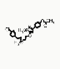 CC(=O)Oc1ccc(-c2cc(OCCN(C)CCc3ccc(Cl)cc3)n(C)n2)cc1